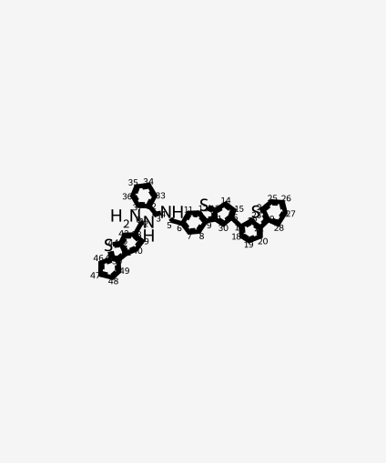 NC(NC(NCc1ccc2c(c1)sc1ccc(-c3cccc4c3sc3ccccc34)cc12)c1ccccc1)c1ccc2c(c1)sc1ccccc12